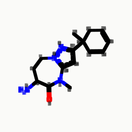 CN1C(=O)C(N)CCn2nc(C3(C)C=CC=CC3)cc21